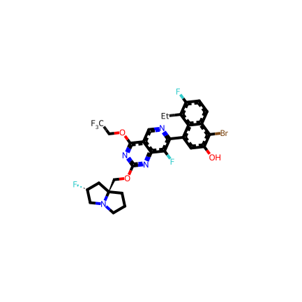 CCc1c(F)ccc2c(Br)c(O)cc(-c3ncc4c(OCC(F)(F)F)nc(OC[C@@]56CCCN5C[C@H](F)C6)nc4c3F)c12